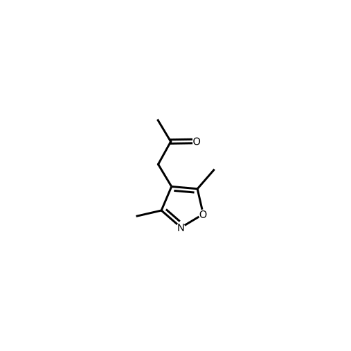 CC(=O)Cc1c(C)noc1C